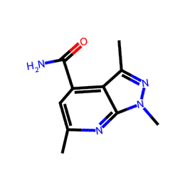 Cc1cc(C(N)=O)c2c(C)nn(C)c2n1